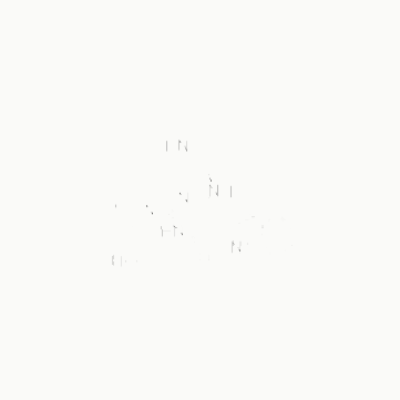 O=c1[nH]c(N2CCOCC2CO)nc(N[C@@H]2CCCNC2)c1-c1nc2ccccc2s1